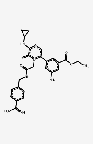 CCOC(=O)c1cc(N)cc(-c2cnc(NC3CC3)c(=O)n2CC(=O)NCc2ccc(C(=N)N)cc2)c1